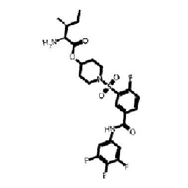 CC[C@H](C)[C@H](N)C(=O)OC1CCN(S(=O)(=O)c2cc(C(=O)Nc3cc(F)c(F)c(F)c3)ccc2F)CC1